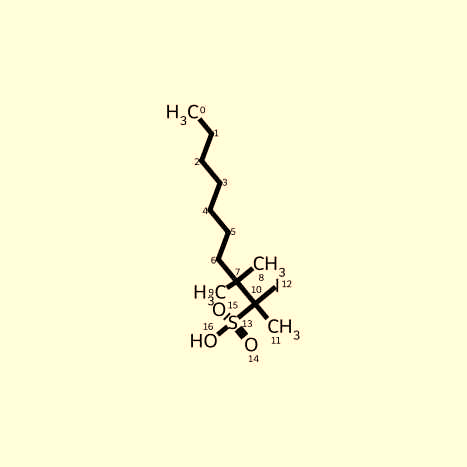 CCCCCCCC(C)(C)C(C)(I)S(=O)(=O)O